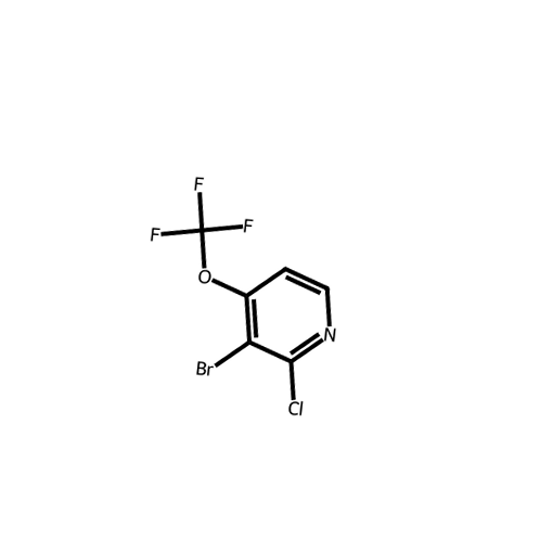 FC(F)(F)Oc1ccnc(Cl)c1Br